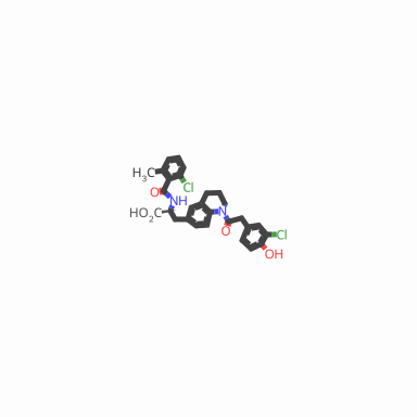 Cc1cccc(Cl)c1C(=O)N[C@@H](Cc1ccc2c(c1)CCCN2C(=O)Cc1ccc(O)c(Cl)c1)C(=O)O